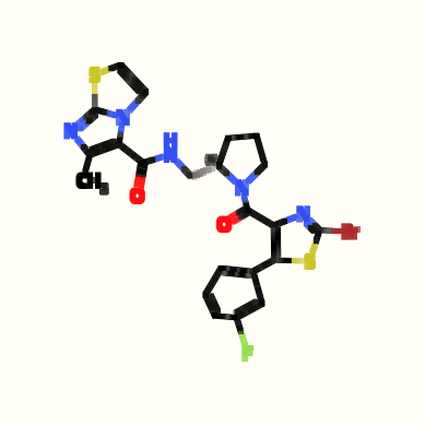 Cc1nc2sccn2c1C(=O)NC[C@@H]1CCCN1C(=O)c1nc(Br)sc1-c1cccc(F)c1